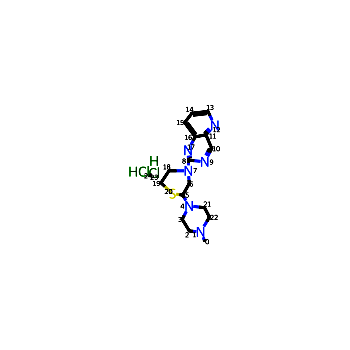 CN1CCN(C2CN(c3ncc4ncccc4n3)CCS2)CC1.Cl.Cl